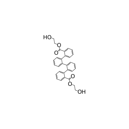 O=C(OCCO)c1ccccc1-c1ccccc1-c1ccccc1-c1ccccc1C(=O)OCCO